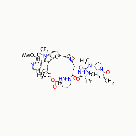 C=CC(=O)N1CC[C@@H](N(C)C(=O)N(C)C(C(=O)N[C@H]2Cc3nc(cs3)-c3ccc4c(c3)c(c(-c3cccnc3[C@H](C)OC)n4CC(F)(F)F)CC(C)(C)COC(=O)[C@@H]3CCCN(N3)C2=O)C(C)C)C1